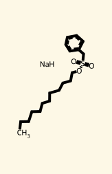 CCCCCCCCCCCCOS(=O)(=O)Cc1ccccc1.[NaH]